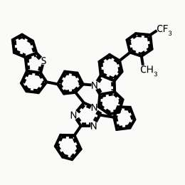 Cc1cc(C(F)(F)F)ccc1-c1ccc2c(c1)c1ccccc1n2-c1ccc(-c2cccc3c2sc2ccccc23)cc1-c1nc(-c2ccccc2)nc(-c2ccccc2)n1